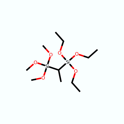 CCO[Si](OCC)(OCC)C(C)[Si](OC)(OC)OC